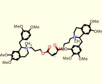 COc1ccc(CC2c3cc(OC)c(OC)cc3CC[N+]2(C)CCCOC(=O)/C=C\C(=O)OCCC[N+]2(C)CCc3cc(OC)c(OC)cc3C2Cc2cc(OC)c(OC)c(OC)c2)cc1OC